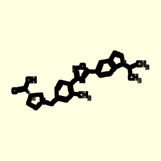 Cc1cc(CN2CC[C@H](C(=O)O)C2)ccc1-c1noc(-c2ccc3c(ccn3C(C)C)c2)n1